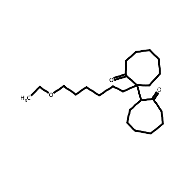 CCOCCCCCCC1(C2CCCCCCC2=O)CCCCCCC1=O